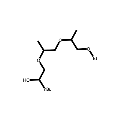 CCCCC(O)COC(C)COC(C)COCC